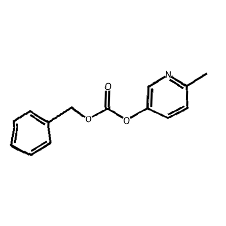 Cc1ccc(OC(=O)OCc2ccccc2)cn1